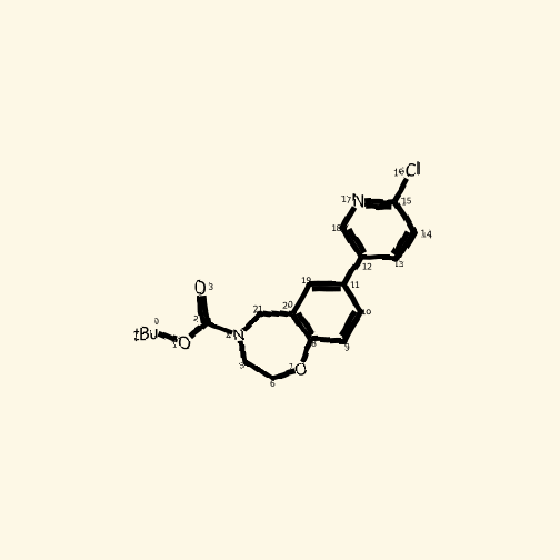 CC(C)(C)OC(=O)N1CCOc2ccc(-c3ccc(Cl)nc3)cc2C1